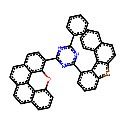 c1ccc(-c2nc(-c3ccc4ccc5ccc6cccc7c6c5c4c3O7)nc(-c3cccc4sc5ccc6ccccc6c5c34)n2)cc1